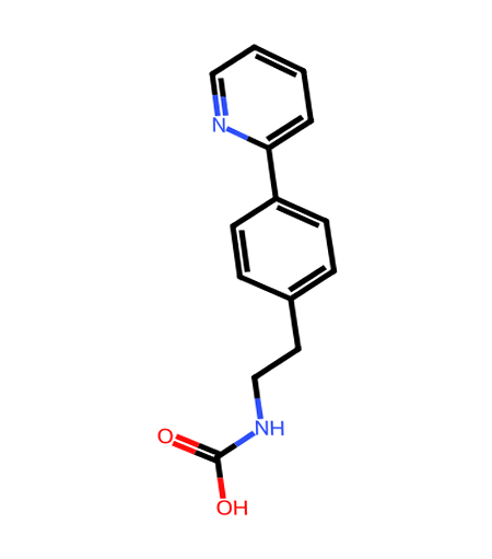 O=C(O)NCCc1ccc(-c2ccccn2)cc1